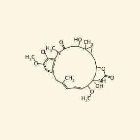 COc1cc2cc(c1Cl)N(C)C(=O)CC(O)C1(C)CC1CC1C[C@@](O)(NC(=O)O1)C(OC)/C=C/C=C(\C)C2